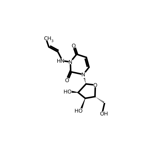 C/C=C/Nn1c(=O)ccn([C@@H]2O[C@H](CO)[C@@H](O)[C@H]2O)c1=O